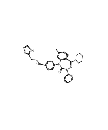 Cc1ccc2c(c1)N(c1ccc(NCCc3ncc[nH]3)cc1)C(=O)N(c1ccccn1)N=C2C1CCCCC1